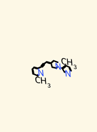 Cc1cccc(C#CC=C2CCN(c3cnccc3C)CC2)n1